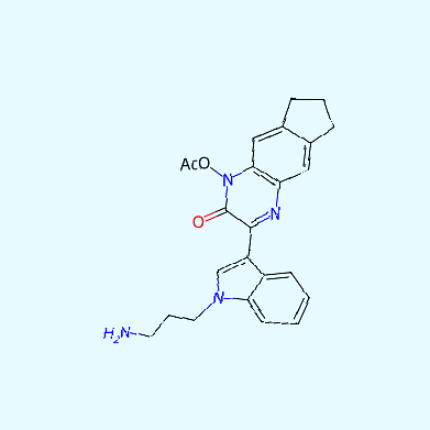 CC(=O)On1c(=O)c(-c2cn(CCCN)c3ccccc23)nc2cc3c(cc21)CCC3